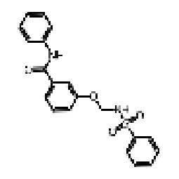 O=C(Nc1ccccc1)c1cccc(OCNS(=O)(=O)c2ccccc2)c1